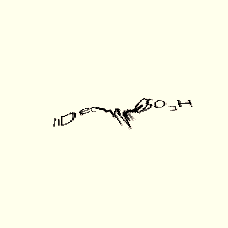 CCCCCCCCCCCCCCCC[N+](C)(C)CCCOS(=O)(=O)O